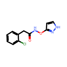 O=C(Cc1ccccc1Cl)NOc1cc[nH]n1